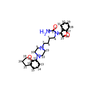 NC(=O)N(CCCCN1CCN(c2cccc3c2OCCC3)CC1)c1coc2ccccc12